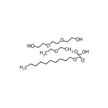 CCCCCCCCCCOS(=O)(=O)O.CCOCC.OCCOCCOCCO